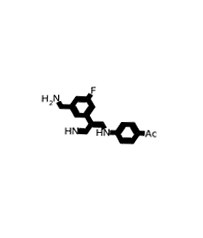 CC(=O)c1ccc(N/C=C(\C=N)c2cc(F)cc(CN)c2)cc1